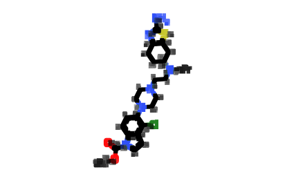 CCCN(CCN1CCN(c2ccc3c(ccn3C(=O)OC(C)(C)C)c2Cl)CC1)[C@@H]1CCc2nc(N)sc2C1